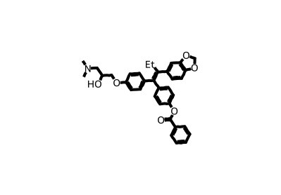 CCC(=C(c1ccc(OCC(O)CN(C)C)cc1)c1ccc(OC(=O)c2ccccc2)cc1)c1ccc2c(c1)OCO2